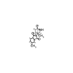 Cc1ccc2c(c1)C(=O)N([C@@]1(C)CCC(=O)NC1)C2=O